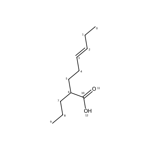 CC/C=C/CCC(CCC)C(=O)O